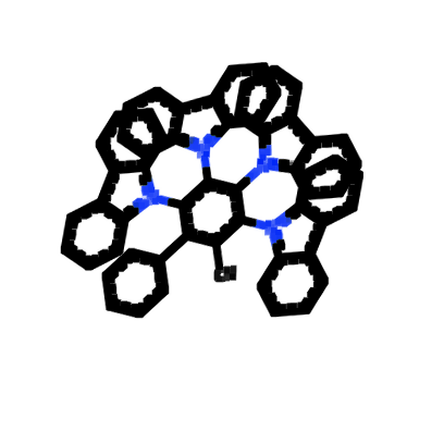 N#Cc1c(-c2ccccc2)c(-n2c3ccccc3c3ccccc32)c(-n2c3ccccc3c3ccccc32)c(-n2c3ccccc3c3ccccc32)c1-n1c2ccccc2c2ccccc21